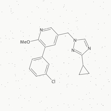 COc1ncc(Cn2cnc(C3CC3)n2)cc1-c1cccc(Cl)c1